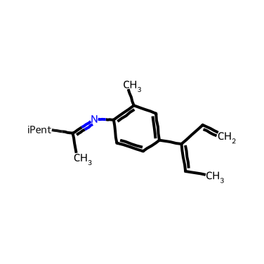 C=C/C(=C\C)c1ccc(/N=C(\C)C(C)CCC)c(C)c1